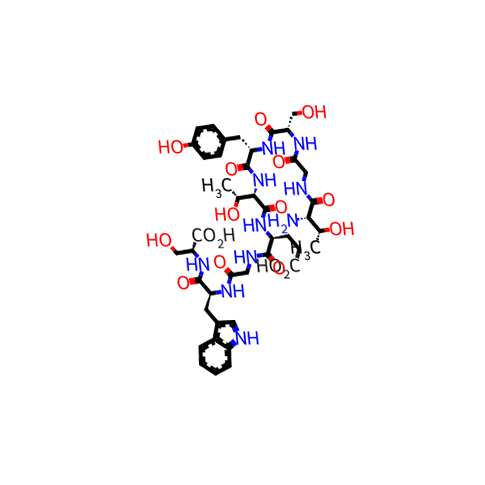 C[C@@H](O)[C@H](N)C(=O)NCC(=O)N[C@@H](CO)C(=O)N[C@@H](Cc1ccc(O)cc1)C(=O)N[C@H](C(=O)N[C@@H](CCC(=O)O)C(=O)NCC(=O)N[C@@H](Cc1c[nH]c2ccccc12)C(=O)N[C@@H](CO)C(=O)O)[C@@H](C)O